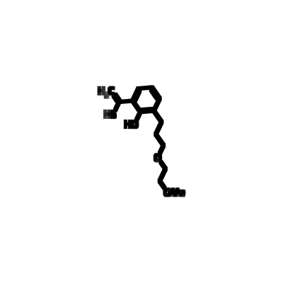 C=C(S)c1cccc(CCCOCCOC)c1O